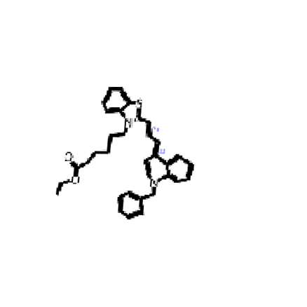 CCOC(=O)CCCCC[n+]1c(/C=C/C=C2\C=CN(Cc3ccccc3)c3ccccc32)sc2ccccc21